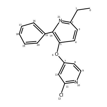 CCc1ccc(Oc2ccnc(Cl)c2)c(-c2ccccc2)n1